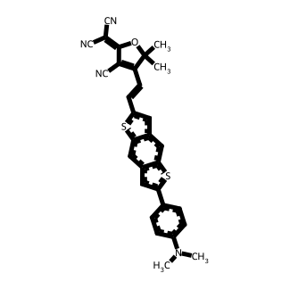 CN(C)c1ccc(-c2cc3cc4sc(/C=C/C5=C(C#N)C(=C(C#N)C#N)OC5(C)C)cc4cc3s2)cc1